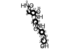 CNC(=O)n1ccc2cc(Nc3ccnc(NC(=O)c4ccc(CN5CCC(O)CC5)cc4)c3)c(OC)cc21